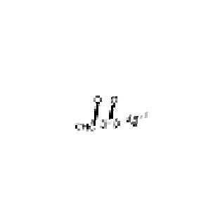 O=C[O-].O=C[O-].[Ag+2]